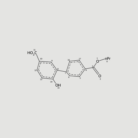 CCCOC(=O)c1ccc(-c2cc(C(=O)O)ccc2O)cc1